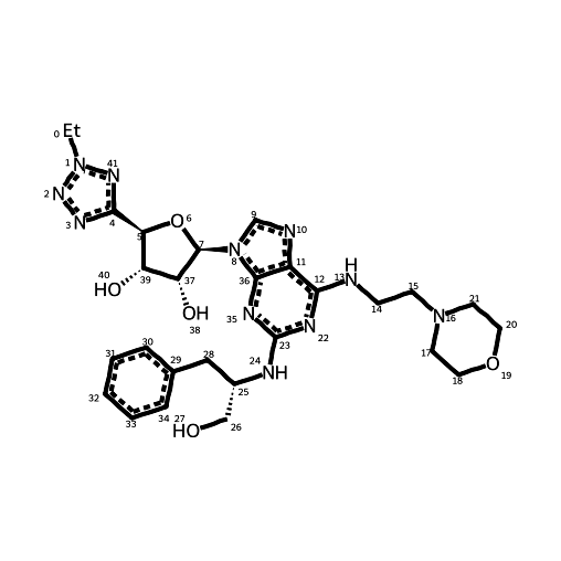 CCn1nnc([C@H]2O[C@@H](n3cnc4c(NCCN5CCOCC5)nc(N[C@H](CO)Cc5ccccc5)nc43)[C@H](O)[C@@H]2O)n1